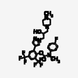 CN1CCN(CC(O)Cn2cc(-c3cc(C(F)(F)F)cc(C(F)(F)F)c3OC(=O)N(C)c3ccc(F)cc3)cn2)CC1